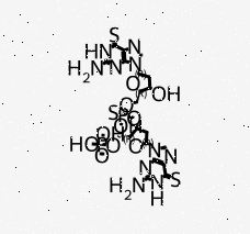 Nc1nc2c(ncn2[C@H]2CC(O)[C@@H](COP(O)(=S)OC3C[C@H](n4cnc5c(=S)[nH]c(N)nc54)O[C@@H]3COP(=O)(O)O)O2)c(=S)[nH]1